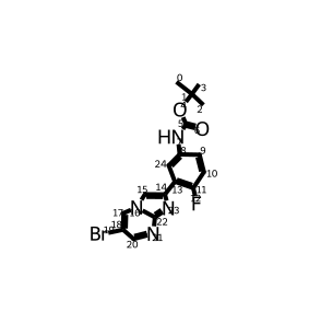 CC(C)(C)OC(=O)Nc1ccc(F)c(-c2cn3cc(Br)cnc3n2)c1